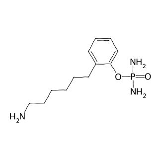 NCCCCCCc1ccccc1OP(N)(N)=O